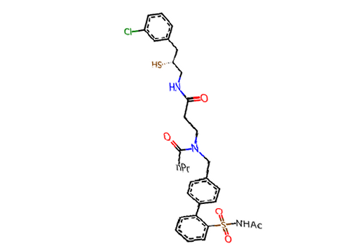 CCCC(=O)N(CCC(=O)NC[C@H](S)Cc1cccc(Cl)c1)Cc1ccc(-c2ccccc2S(=O)(=O)NC(C)=O)cc1